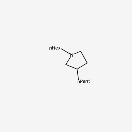 [CH2]CCCCC1CCN(CCCCCC)C1